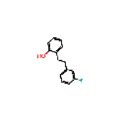 Oc1ccccc1CCc1cccc(F)c1